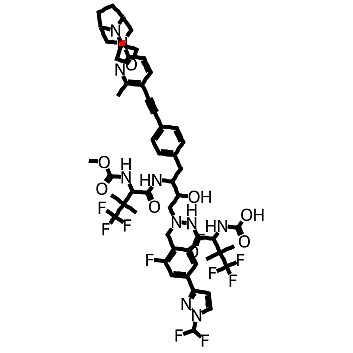 COC(=O)NC(C(=O)NC(Cc1ccc(C#Cc2ccc(N3CC4CCC(C3)N4C3COC3)nc2C)cc1)C(O)CN(Cc1c(F)cc(-c2ccn(C(F)F)n2)cc1F)NC(=O)C(NC(=O)O)C(C)(C)C(F)(F)F)C(C)(C)C(F)(F)F